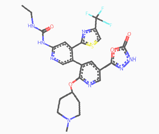 CCNC(=O)Nc1cc(-c2nc(C(F)(F)F)cs2)c(-c2cc(-c3n[nH]c(=O)o3)cnc2OC2CCN(C)CC2)cn1